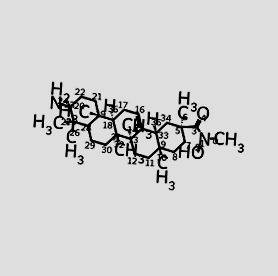 CN(O)C(=O)[C@@]1(C)CC[C@]2(C)CC[C@]3(C)C(=CC[C@@H]4[C@@]5(C)CC[C@H](N)C(C)(C)C5CC[C@]43C)[C@@H]2C1